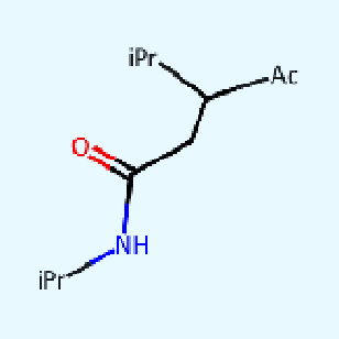 CC(=O)C(CC(=O)NC(C)C)C(C)C